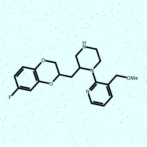 COCc1cccnc1N1CCNCC1CC1COc2ccc(F)cc2O1